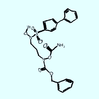 CC(C)ON(CCCN(OC(N)=O)C(=O)OCc1ccccc1)S(=O)(=O)c1ccc(-c2ccccc2)cc1